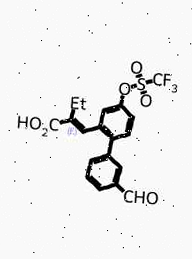 CC/C(=C\c1cc(OS(=O)(=O)C(F)(F)F)ccc1-c1cccc(C=O)c1)C(=O)O